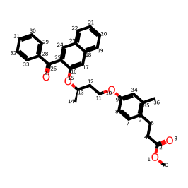 COC(=O)CCc1ccc(OCC[C@@H](C)Oc2cc3ccccc3cc2C(=O)c2ccccc2)cc1C